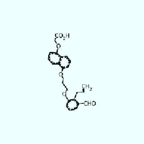 C=CCc1c(C=O)cccc1OCCCOc1cccc2c(OCC(=O)O)cccc12